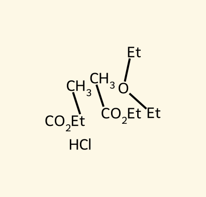 CCOC(C)=O.CCOC(C)=O.CCOCC.Cl